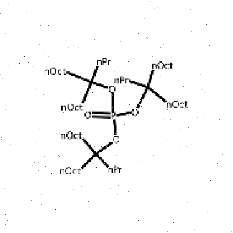 CCCCCCCCC(CCC)(CCCCCCCC)OP(=O)(OC(CCC)(CCCCCCCC)CCCCCCCC)OC(CCC)(CCCCCCCC)CCCCCCCC